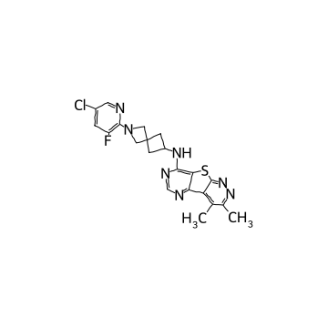 Cc1nnc2sc3c(NC4CC5(C4)CN(c4ncc(Cl)cc4F)C5)ncnc3c2c1C